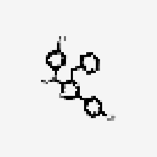 CC(=O)N(c1ccc(O)cc1)c1ncc(-c2ccc(O)cc2)nc1Cc1ccccc1